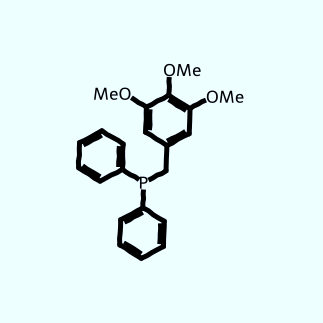 COc1cc(CP(c2ccccc2)c2ccccc2)cc(OC)c1OC